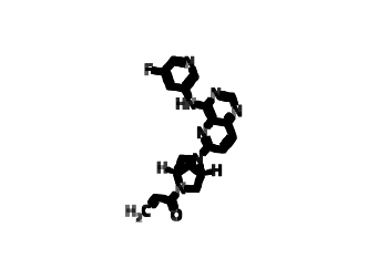 C=CC(=O)N1C[C@@H]2C[C@H]1CN2c1ccc2ncnc(Nc3cncc(F)c3)c2n1